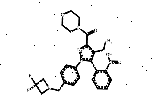 CCc1c(C(=O)N2CCOCC2)nn(-c2ccc(CN3CC(F)(F)C3)cc2)c1-c1ccccc1S(=O)O